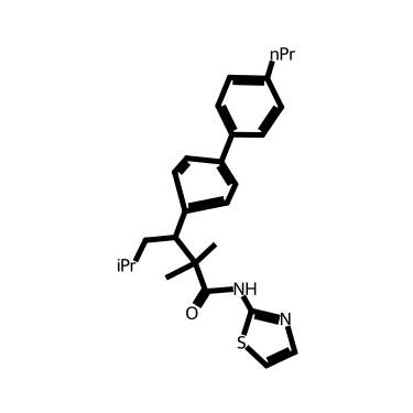 CCCc1ccc(-c2ccc(C(CC(C)C)C(C)(C)C(=O)Nc3nccs3)cc2)cc1